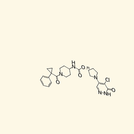 O=C(NC1CCN(C(=O)C2(c3ccccc3)CC2)CC1)O[C@@H]1CCN(c2cn[nH]c(=O)c2Cl)C1